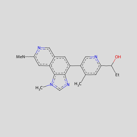 CCC(O)c1cc(C)c(-c2cc3cnc(NC)cc3c3c2ncn3C)cn1